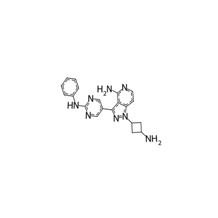 Nc1nccc2c1c(-c1cnc(Nc3ccccc3)nc1)nn2C1CC(N)C1